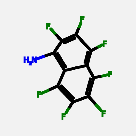 Nc1c(F)c(F)c(F)c2c(F)c(F)c(F)c(F)c12